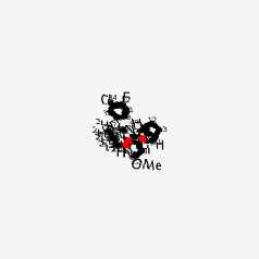 [2H]C([2H])([2H])C([2H])(n1nc(NC2[C@@H]3CC[C@H]2CN(c2ccnc(OC)c2)C3)nc1Oc1ccc(F)c(Cl)c1)C([2H])([2H])[2H]